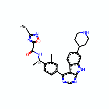 Cc1cc(-c2ncnc3[nH]c4cc(C5CCNCC5)ccc4c23)ccc1[C@@H](C)NC(=O)c1nc(C(C)(C)C)no1